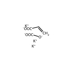 C=CC(=O)[O-].O=C([O-])[O-].[K+].[K+].[K+]